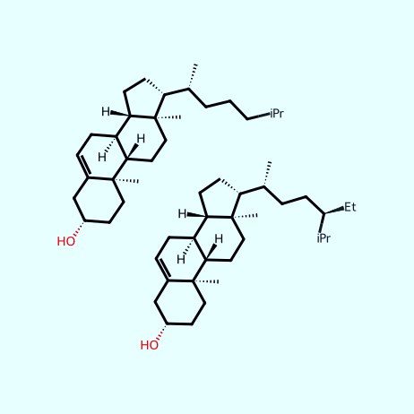 CC(C)CCC[C@@H](C)[C@H]1CC[C@H]2[C@@H]3CC=C4C[C@@H](O)CC[C@]4(C)[C@H]3CC[C@]12C.CC[C@H](CC[C@@H](C)[C@H]1CC[C@H]2[C@@H]3CC=C4C[C@@H](O)CC[C@]4(C)[C@H]3CC[C@]12C)C(C)C